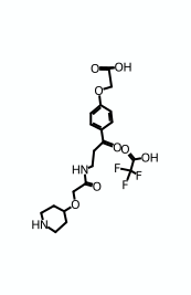 O=C(O)C(F)(F)F.O=C(O)COc1ccc(C(=O)CCNC(=O)COC2CCNCC2)cc1